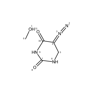 CO.[N-]=[N+]=C1CNC(=O)NC1=O